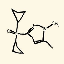 Cn1nc(P(=O)(C2CC2)C2CC2)cc1I